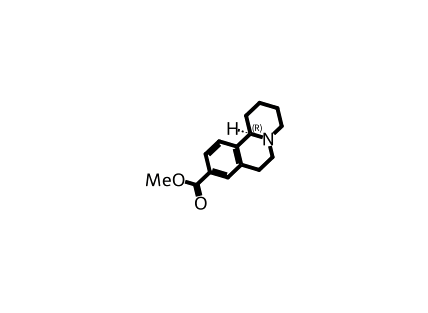 COC(=O)c1ccc2c(c1)CCN1CCCC[C@H]21